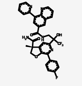 C[C@]1(C(N)=O)COc2c1cc(C(O)(CNC(=O)c1cc(-c3ccccn3)c3ncccc3c1)C(F)(F)F)nc2-c1ccc(F)cc1